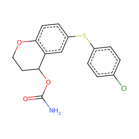 NC(=O)OC1CCOc2ccc(Sc3ccc(Cl)cc3)cc21